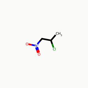 CC(Cl)C[N+](=O)[O-]